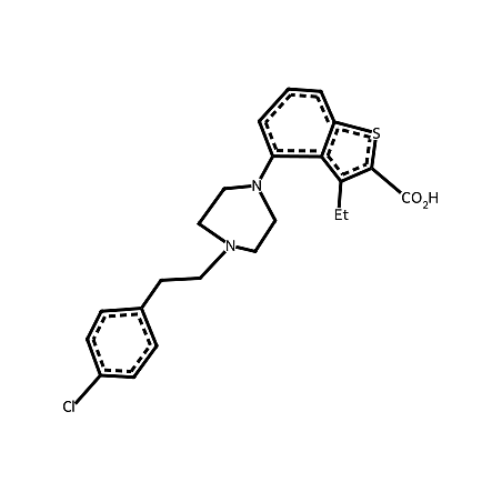 CCc1c(C(=O)O)sc2cccc(N3CCN(CCc4ccc(Cl)cc4)CC3)c12